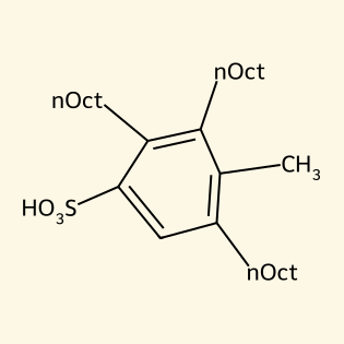 CCCCCCCCc1cc(S(=O)(=O)O)c(CCCCCCCC)c(CCCCCCCC)c1C